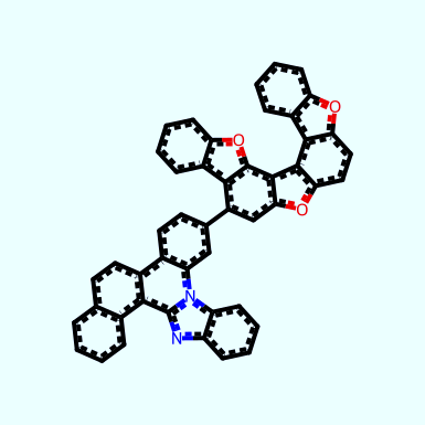 c1ccc2c(c1)ccc1c3ccc(-c4cc5oc6ccc7oc8ccccc8c7c6c5c5oc6ccccc6c45)cc3n3c4ccccc4nc3c21